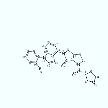 O=C1C2C(CCN2C(=O)[C@@H]2CCOC2)CN1c1cccc2c1cnn2-c1ccccc1F